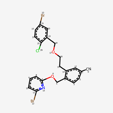 N#Cc1ccc(COc2cccc(Br)n2)c(CCOCc2cc(Br)ccc2Cl)c1